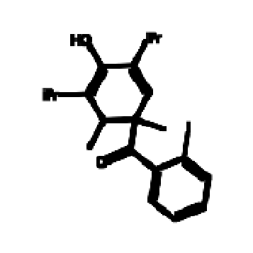 CC(C)C1=CC(C)(C(=O)c2ccccc2I)C(C)C(C(C)C)=C1O